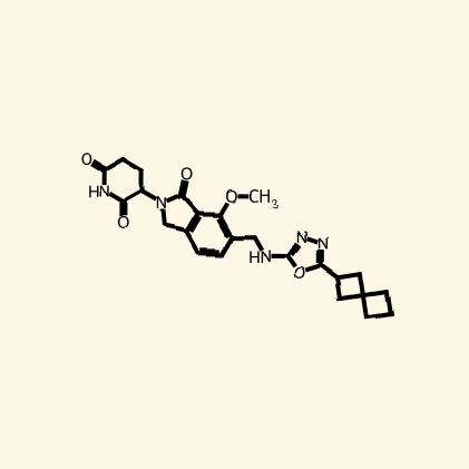 COc1c(CNc2nnc(C3CC4(CCC4)C3)o2)ccc2c1C(=O)N(C1CCC(=O)NC1=O)C2